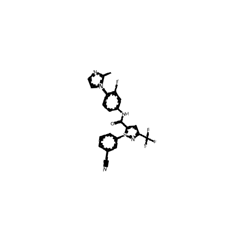 Cc1nccn1-c1ccc(NC(=O)c2cc(C(F)(F)F)nn2-c2cccc(C#N)c2)cc1F